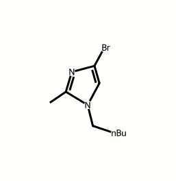 CCCCCn1cc(Br)nc1C